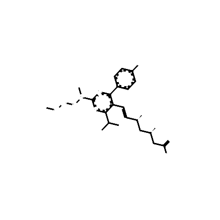 COOSN(C)c1nc(-c2ccc(F)cc2)c(/C=C/[C@@H](O)C[C@@H](O)CC(=O)O)c(C(C)C)n1